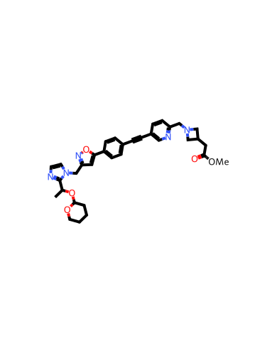 COC(=O)CC1CN(Cc2ccc(C#Cc3ccc(-c4cc(Cn5ccnc5C(C)OC5CCCCO5)no4)cc3)cn2)C1